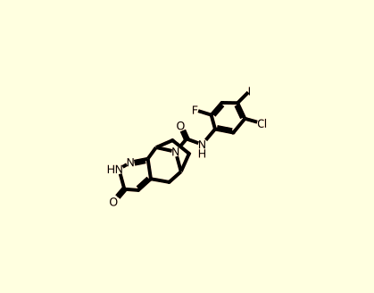 O=C(Nc1cc(Cl)c(I)cc1F)N1C2CCC1c1n[nH]c(=O)cc1C2